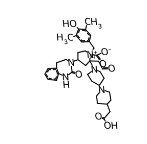 Cc1cc(C[N@+]2(C(=O)[O-])CCC(N3CCc4ccccc4NC3=O)CC2(CC=O)N2CCC(N3CCC(CC(=O)O)CC3)CC2)cc(C)c1O